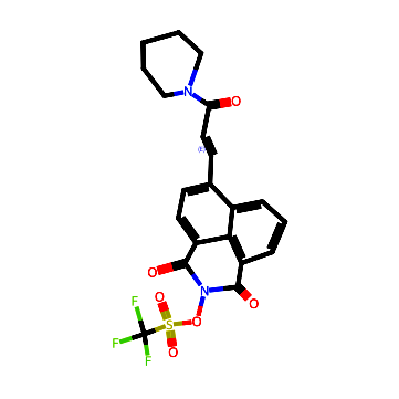 O=C(/C=C/c1ccc2c3c(cccc13)C(=O)N(OS(=O)(=O)C(F)(F)F)C2=O)N1CCCCC1